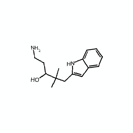 CC(C)(Cc1cc2ccccc2[nH]1)C(O)CCN